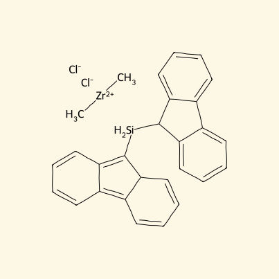 C1=CC2=c3ccccc3=C([SiH2]C3c4ccccc4-c4ccccc43)C2C=C1.[CH3][Zr+2][CH3].[Cl-].[Cl-]